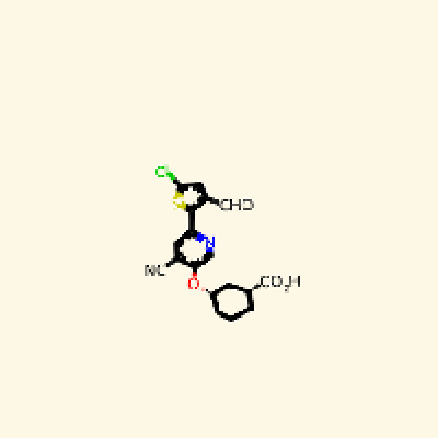 N#Cc1cc(-c2sc(Cl)cc2C=O)ncc1O[C@H]1CCC[C@H](C(=O)O)C1